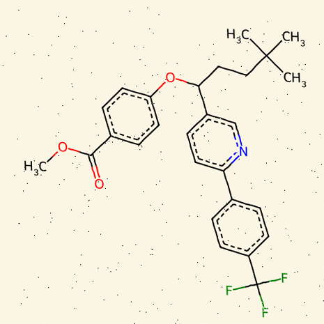 COC(=O)c1ccc(OC(CCC(C)(C)C)c2ccc(-c3ccc(C(F)(F)F)cc3)nc2)cc1